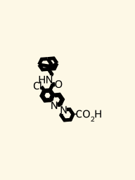 O=C(NCC12CC3CC(CC(C3)C1)C2)c1c(Cl)ccc2nc(N3CCC[C@@H](C(=O)O)C3)ccc12